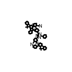 CC1(C)c2ccccc2-c2ccc3c(c21)c1ccccc1n3-c1cc(-c2nc(-c3ccccc3)nc(-c3ccc(-c4ccccc4C#N)c(-n4c5ccccc5c5c6c(ccc54)-c4ccccc4C6(C)C)c3)n2)ccc1C#N